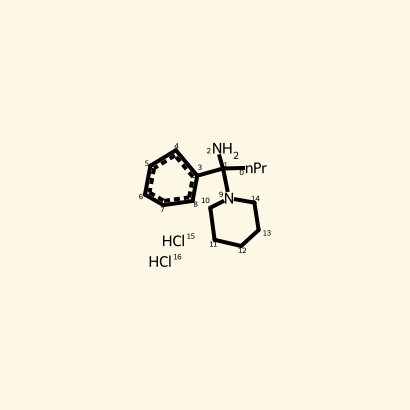 CCCC(N)(c1ccccc1)N1CCCCC1.Cl.Cl